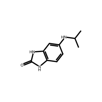 CC(C)Nc1ccc2[nH]c(=O)[nH]c2c1